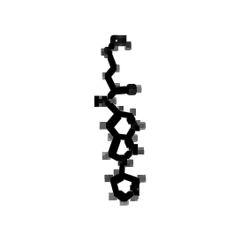 CSCCC(=O)Nc1cnc2nn(-c3cccnc3)cc2c1